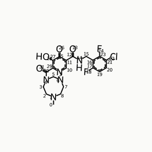 CN1CCN2CN(CC1)n1cc(C(=O)NCc3c(F)ccc(Cl)c3F)c(=O)c(O)c1C2=O